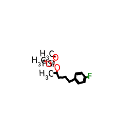 CO[SiH](OC)OC(C)CCCc1ccc(F)cc1